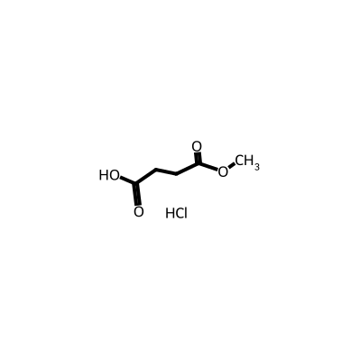 COC(=O)CCC(=O)O.Cl